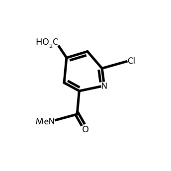 CNC(=O)c1cc(C(=O)O)cc(Cl)n1